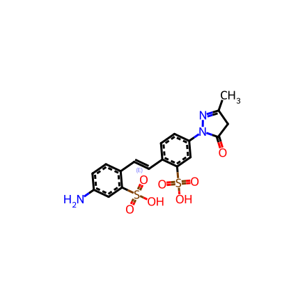 CC1=NN(c2ccc(/C=C/c3ccc(N)cc3S(=O)(=O)O)c(S(=O)(=O)O)c2)C(=O)C1